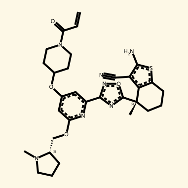 C=CC(=O)N1CCC(Oc2cc(OC[C@@H]3CCCN3C)nc(-c3noc([C@@]4(C)CCCc5sc(N)c(C#N)c54)n3)c2)CC1